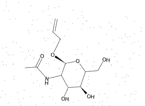 C=CCO[C@H]1OC(CO)[C@@H](O)C(O)C1NC(C)=O